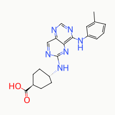 Cc1cccc(Nc2ncnc3cnc(N[C@H]4CC[C@H](C(=O)O)CC4)nc23)c1